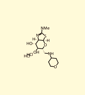 CNC1=N[C@@H]2[C@@H](O)[C@H](O)[C@@H](CNC3CCOCC3)O[C@@H]2S1.Cl.Cl